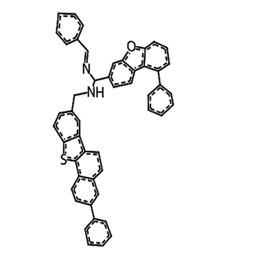 C(=N\C(NCc1ccc2sc3c4ccc(-c5ccccc5)cc4ccc3c2c1)c1ccc2c(c1)oc1cccc(-c3ccccc3)c12)/c1ccccc1